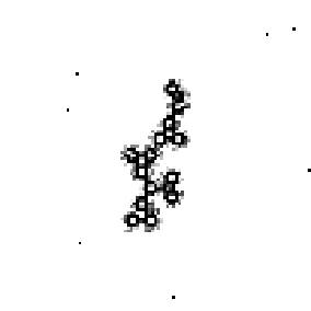 c1ccc2c(c1)oc1ccc(-c3ccc4c5ccc(-c6ccc7c8cc(-c9cc(-c%10ccc%11c%12ccccc%12c%12ccccc%12c%11c%10)cc(-n%10c%11ccccc%11c%11ccccc%11%10)c9)ccc8c8ccccc8c7c6)cc5c5ccccc5c4c3)cc12